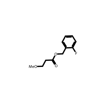 COCCC(=O)OCc1ccccc1F